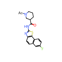 CC(=O)N1CCCC(C(=O)Nc2nc3ccc4cc(F)ccc4c3s2)C1